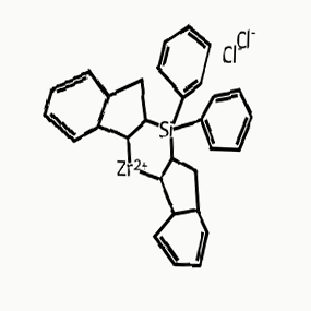 C1=CC2CC3[CH]([Zr+2][CH]4C5C=CC=CC5CC4[Si]3(c3ccccc3)c3ccccc3)C2C=C1.[Cl-].[Cl-]